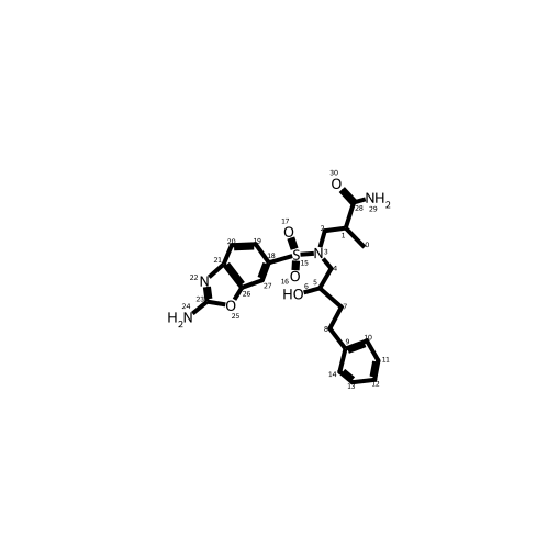 CC(CN(CC(O)[CH]Cc1ccccc1)S(=O)(=O)c1ccc2nc(N)oc2c1)C(N)=O